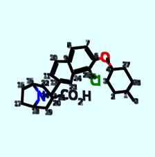 CC1CCC(Oc2ccc3ccc(CN4C5CCC4CC(C(=O)O)C5)cc3c2Cl)CC1